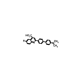 CN(C)c1ccc(-c2ccc(-c3cc(C(=O)O)c4cc(F)ccc4n3)cc2)cc1